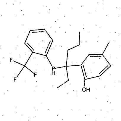 CCCC(CC)(Pc1ccccc1C(F)(F)F)c1cc(C)ccc1O